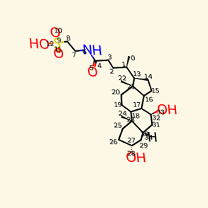 C[C@H](CCC(=O)NCCS(=O)(=O)O)[C@H]1CCC2C3C(CC[C@@]21C)[C@@]1(C)CC[C@@H](O)C[C@H]1C[C@@H]3O